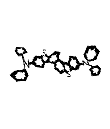 c1ccc(N(c2ccccc2)c2ccc3c(c2)sc2ccc4c(ccc5sc6cc(N(c7ccccc7)c7ccccc7)ccc6c54)c23)cc1